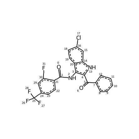 O=C(Nc1c(C(=O)c2ccccc2)[nH]c2cc(Cl)ccc12)c1ccc(C(F)(F)F)cc1F